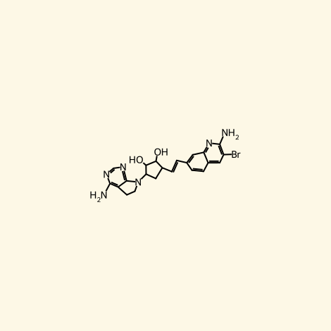 Nc1nc2cc(/C=C/C3CC(N4CCc5c(N)ncnc54)C(O)C3O)ccc2cc1Br